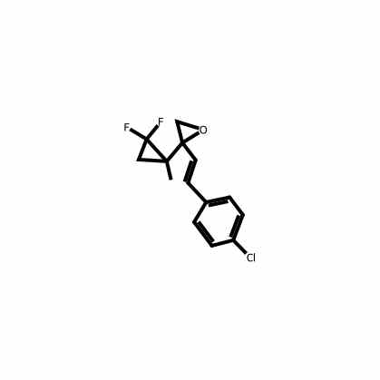 CC1(C2(C=Cc3ccc(Cl)cc3)CO2)CC1(F)F